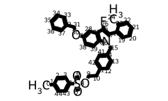 Cc1ccc(S(=O)(=O)OCCc2ccc(Cn3c(-c4ccccc4C)c(F)c4cc(OCc5ccccc5)ccc43)cc2)cc1